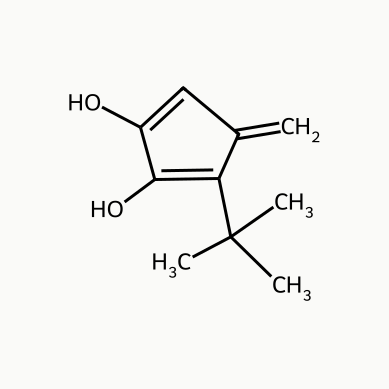 C=C1C=C(O)C(O)=C1C(C)(C)C